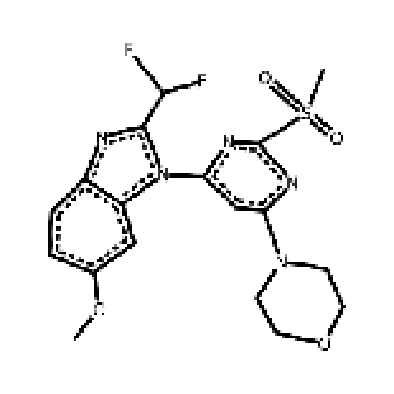 COc1ccc2nc(C(F)F)n(-c3cc(N4CCOCC4)nc(S(C)(=O)=O)n3)c2c1